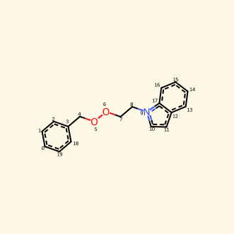 c1ccc(COOCCn2ccc3ccccc32)cc1